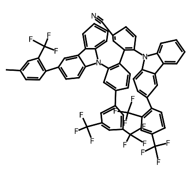 Cc1ccc(-c2ccc3c(c2)c2ccccc2n3-c2cc(-c3cc(C(F)(F)F)cc(C(F)(F)F)c3)ccc2-c2cc(C#N)ccc2-n2c3ccccc3c3cc(-c4ccc(C(F)(F)F)cc4C(F)(F)F)ccc32)c(C(F)(F)F)c1